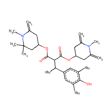 C=C1CC(OC(=O)C(C(=O)OC2CC(=C)N(C)C(C)(C)C2)C(CCCC)c2cc(C(C)(C)C)c(O)c(C(C)(C)C)c2)CC(=C)N1C